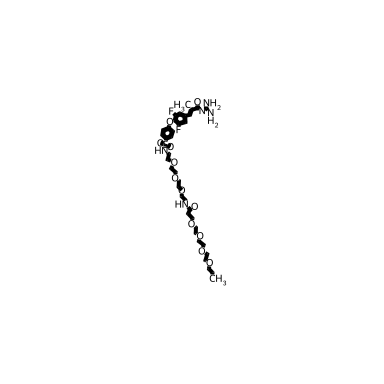 CCCOCCOCCOCCOCCC(=O)NCCOCCOCCOCCNS(=O)(=O)c1ccc(Oc2c(F)cc(/C=C(\C)C(=O)N=C(N)N)cc2F)cc1